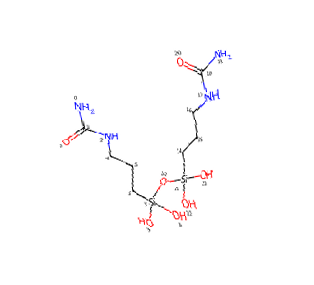 NC(=O)NCCC[Si](O)(O)O[Si](O)(O)CCCNC(N)=O